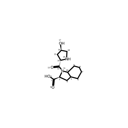 O=C(O)[C@@H]1CC2CCCCC2N1C(=O)[C@@H]1C[C@@H](O)CN1